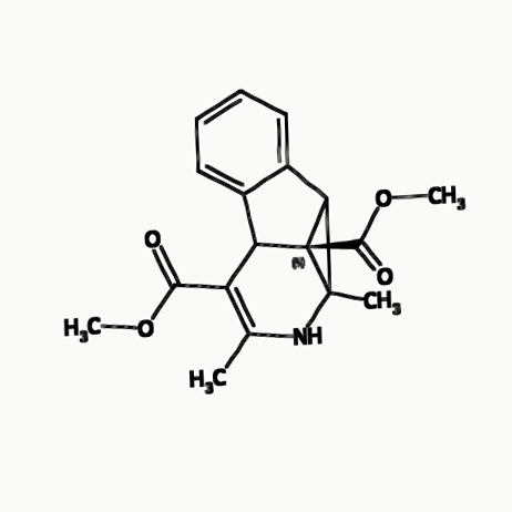 COC(=O)C1=C(C)NC2(C)C3c4ccccc4C1[C@]32C(=O)OC